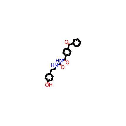 O=C(NCCc1ccc(O)cc1)NC(=O)c1ccc(C(=O)c2ccccc2)cc1